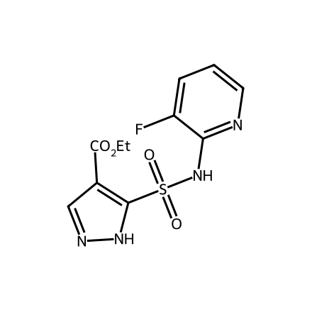 CCOC(=O)c1cn[nH]c1S(=O)(=O)Nc1ncccc1F